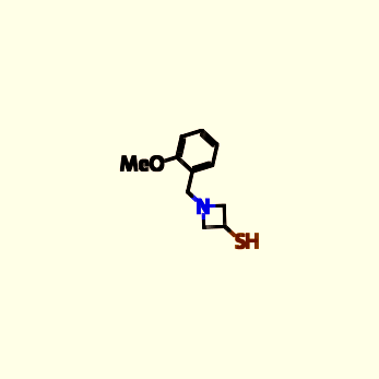 COc1ccccc1CN1CC(S)C1